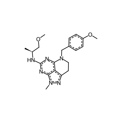 COC[C@H](C)Nc1nc2c3c(nn(C)c3n1)CCN2Cc1ccc(OC)cc1